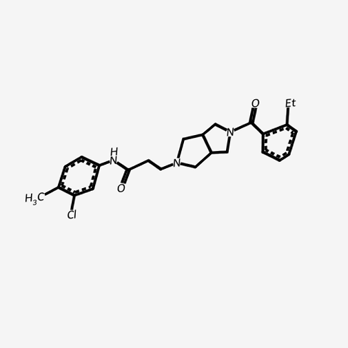 CCc1ccccc1C(=O)N1CC2CN(CCC(=O)Nc3ccc(C)c(Cl)c3)CC2C1